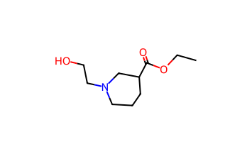 CCOC(=O)C1CCCN(CCO)C1